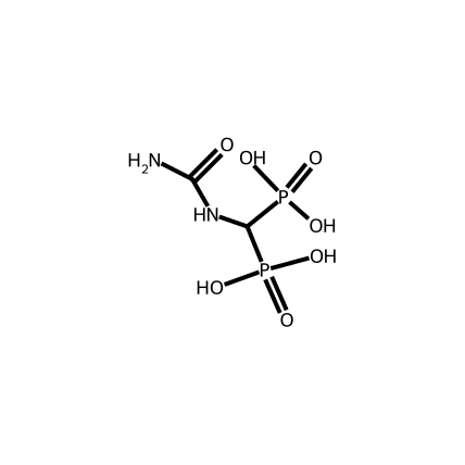 NC(=O)NC(P(=O)(O)O)P(=O)(O)O